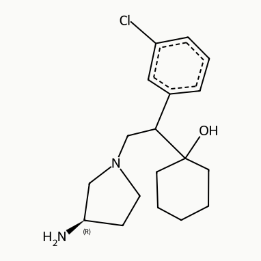 N[C@@H]1CCN(CC(c2cccc(Cl)c2)C2(O)CCCCC2)C1